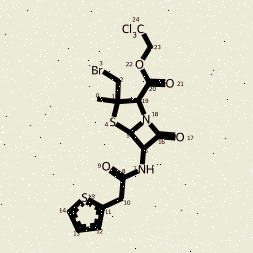 CC1(CBr)SC2C(NC(=O)Cc3cccs3)C(=O)N2C1C(=O)OCC(Cl)(Cl)Cl